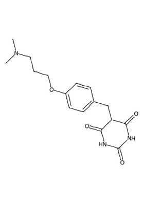 CN(C)CCCOc1ccc(CC2C(=O)NC(=O)NC2=O)cc1